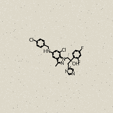 Cc1nn([C@H](C)[C@](O)(Cn2cncn2)c2ccc(F)cc2F)c2c(Cl)cc(NCc3ccc(Cl)cc3)cc12